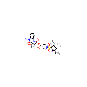 Cc1cc(C)c(I)c(S(=O)(=O)N2CCC(C(=O)OCC(=O)N3c4ccccc4NC(=O)C3(C)C)CC2)c1C